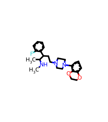 CNC(C)C(CCN1CCN(c2cccc3c2OCCO3)CC1)c1ccccc1F